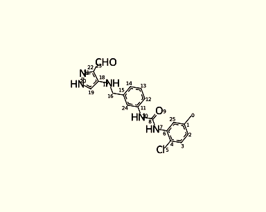 Cc1ccc(Cl)c(NC(=O)Nc2cccc(CNc3c[nH]nc3C=O)c2)c1